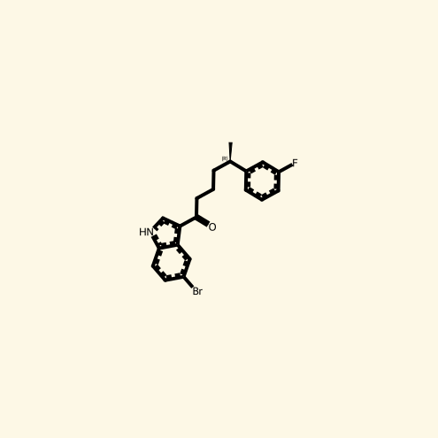 C[C@H](CCCC(=O)c1c[nH]c2ccc(Br)cc12)c1cccc(F)c1